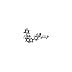 CC(Nc1c(Cl)cnc2ccc(-c3ccc(C(N)CC(=O)O)cc3)cc12)c1ccccc1F